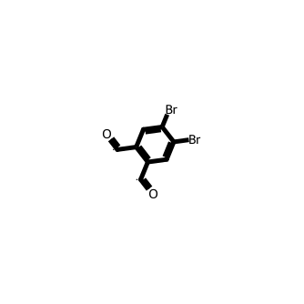 O=[C]c1cc(Br)c(Br)cc1[C]=O